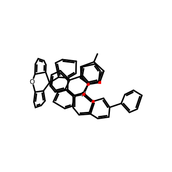 CC1C=CC(N(c2cccc(-c3ccccc3)c2)c2cccc3c2-c2ccccc2C32c3ccccc3Oc3ccccc32)=C(c2ccccc2-c2ccccc2-c2ccccc2)C1